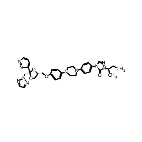 CCC(C)n1ncn(-c2ccc(N3CCN(c4ccc(OC[C@@H]5CO[C@@](Cn6nccn6)(c6cccnn6)O5)cc4)CC3)cc2)c1=O